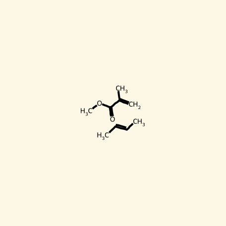 C=C(C)C(=O)OC.CC=CC